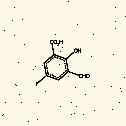 O=Cc1cc(I)cc(C(=O)O)c1O